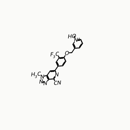 Cn1nnc2c(C#N)nc(-c3ccc(OCc4ccc[n+](O)c4)c(C(F)(F)F)c3)cc21